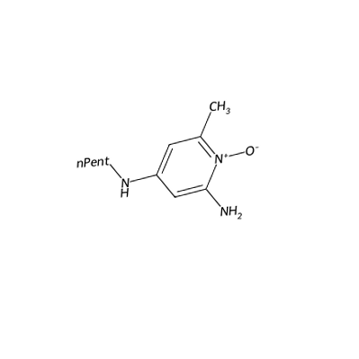 CCCCCNc1cc(C)[n+]([O-])c(N)c1